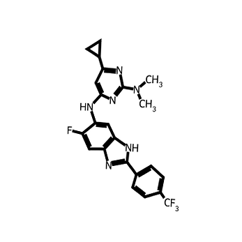 CN(C)c1nc(Nc2cc3[nH]c(-c4ccc(C(F)(F)F)cc4)nc3cc2F)cc(C2CC2)n1